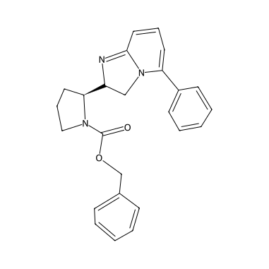 O=C(OCc1ccccc1)N1CCC[C@H]1C1CN2C(c3ccccc3)=CC=CC2=N1